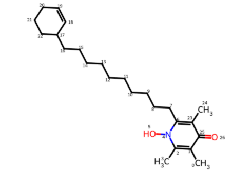 Cc1c(C)n(O)c(CCCCCCCCCCC2C=CCCC2)c(C)c1=O